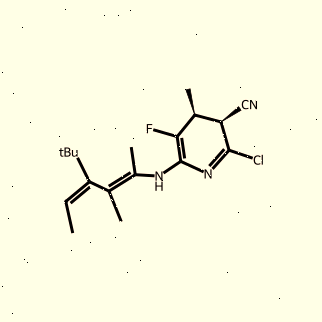 C/C=C(\C(C)=C(/C)NC1=C(F)[C@@H](C)[C@@H](C#N)C(Cl)=N1)C(C)(C)C